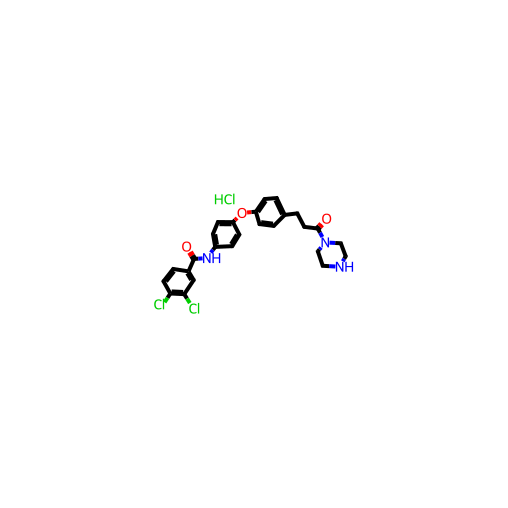 Cl.O=C(Nc1ccc(Oc2ccc(CCC(=O)N3CCNCC3)cc2)cc1)c1ccc(Cl)c(Cl)c1